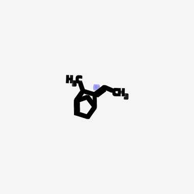 C/C=C1\C2CC=C(C2)C1C